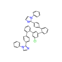 Clc1cc(-c2ccccc2-c2ccc(-c3nccn3-c3ccccc3)cc2)cc(-c2ccccc2-c2ccc(-c3nccn3-c3ccccc3)cc2)c1